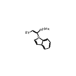 CC/C=C(/CCCCCC)n1ccc2ccccc21